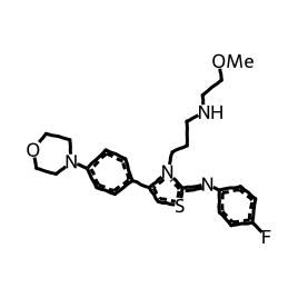 COCCNCCCn1c(-c2ccc(N3CCOCC3)cc2)cs/c1=N\c1ccc(F)cc1